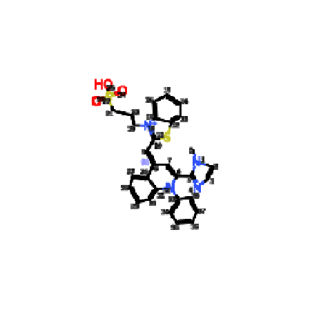 Cn1ccnc1C1=C/C(=C\c2sc3ccccc3[n+]2CCCS(=O)(=O)O)c2ccccc2N1c1ccccc1